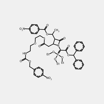 CCOP(OCC)(OCC)=C(C(=O)OC(c1ccccc1)c1ccccc1)N1C(=O)C(C(C)OC(=O)c2ccc([N+](=O)[O-])cc2)C1CC(=O)SCCOCCNC(=O)OCc1ccc([N+](=O)[O-])cc1